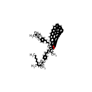 CCCCCCC(C)CC(C)(C)OC(=O)Oc1ccc(CCCOC(=O)C2(C(=O)OCCCc3ccc(OC(=O)OC(C)(C)C)cc3)C3c4cc5c6c7c(cc8cc9c%10c%11c%12c%13c%14c%15c%16c(c%17c4c6c(c%17%14)c4c7c8c%10c%134)C3(CC%16=CC(C=C%11C9)C%15%12)C2(CCC)CCC)C5)cc1